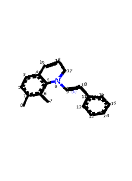 Cc1ccc2c(c1C)N(/C=C/c1ccccc1)CC=C2